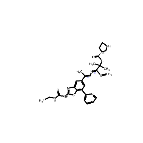 C=N/C(=N\C=C(/C)c1cc(-c2ccccn2)c2sc(NC(=O)NCC)nc2c1)C(C)(C)OC(=O)[C@@H]1CCNC1